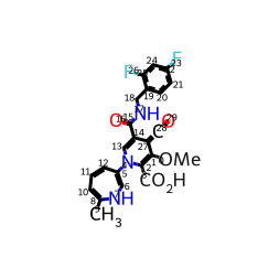 COC1=C(C(=O)O)N(C2=CNC(C)=CC=C2)C=C(C(=O)NCc2ccc(F)cc2F)C1=C=O